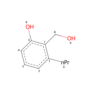 CCCc1cccc(O)c1CO